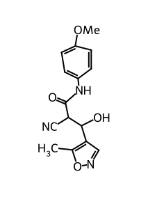 COc1ccc(NC(=O)C(C#N)C(O)c2cnoc2C)cc1